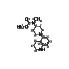 CN(C(=O)OC(C)(C)C)C1CCN(c2cccc3c2CCCN3)CC1